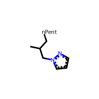 C[CH]CCCCC(C)Cn1cccn1